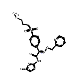 COCCCS(=O)(=O)c1ccc(/C(=N\OCc2ccccn2)C(=O)Nc2ncc(F)s2)cc1